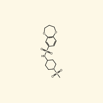 CS(=O)(=O)N1CCC(NS(=O)(=O)c2ccc3c(c2)OCCCO3)CC1